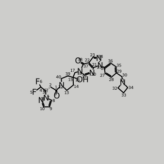 O=C(C[C@@H](C(F)F)n1cccn1)N1CCC(O)(Cn2cnc3c(cnn3-c3ccc(CN4CCC4)cc3)c2=O)CC1